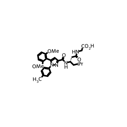 COc1cccc(OC)c1-c1cc(C(=O)N[C@H](CC(=O)NCC(=O)O)CC(C)C)nn1-c1ccc(C)cc1